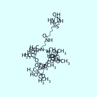 CC[C@H]1OC(=O)[C@H](C)[C@@H](O[C@H]2C[C@@](C)(OC)[C@@H](O)[C@H](C)O2)[C@H](C)[C@@H](O[C@@H]2O[C@H](C)C[C@H](N(C)C)[C@H]2O)[C@](C)(O)C[C@@H](C)CN(CCCNC(=O)CCCC[C@@H]2SC[C@@H]3NC(=O)N[C@@H]32)[C@H](C)[C@@H](O)[C@]1(C)O